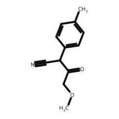 COCC(=O)C(C#N)c1ccc(C)cc1